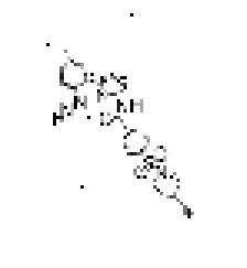 C#CC1CCN(S(=O)(=O)c2ccc(C(=O)Nc3nc(-c4cc(C)ccc4N=[N+]=[N-])cs3)cc2)CC1